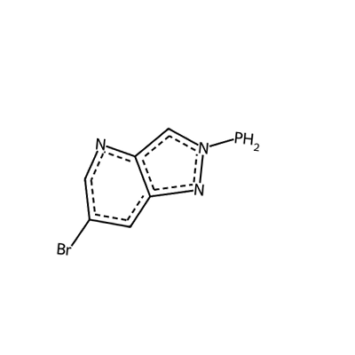 Pn1cc2ncc(Br)cc2n1